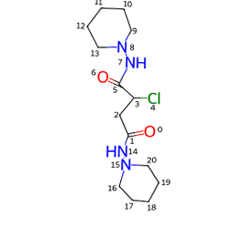 O=C(CC(Cl)C(=O)NN1CCCCC1)NN1CCCCC1